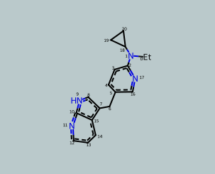 CCN(c1ccc(Cc2c[nH]c3ncccc23)cn1)C1CC1